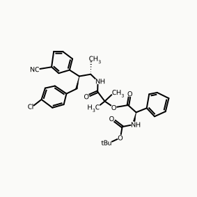 C[C@H](NC(=O)C(C)(C)OC(=O)[C@H](NC(=O)OC(C)(C)C)c1ccccc1)[C@@H](Cc1ccc(Cl)cc1)c1cccc(C#N)c1